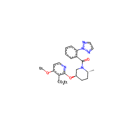 CCOC(=O)c1c(OCC)ccnc1O[C@@H]1CC[C@@H](C)N(C(=O)c2ccccc2-n2nccn2)C1